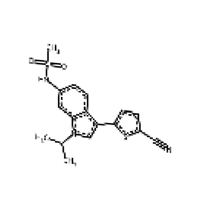 CC(C)n1cc(-c2ccc(C#N)s2)c2ccc(NS(C)(=O)=O)cc21